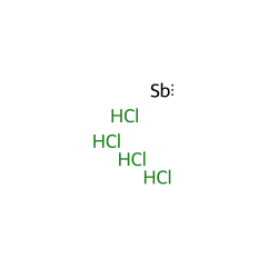 Cl.Cl.Cl.Cl.[Sb]